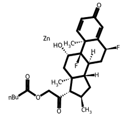 CCCCC(=O)OCC(=O)[C@H]1[C@H](C)C[C@H]2[C@@H]3C[C@H](F)C4=CC(=O)C=C[C@]4(C)[C@@]3(F)[C@@H](O)C[C@@]21C.[Zn]